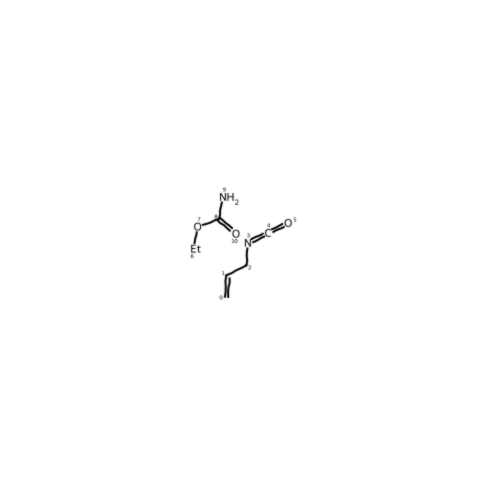 C=CCN=C=O.CCOC(N)=O